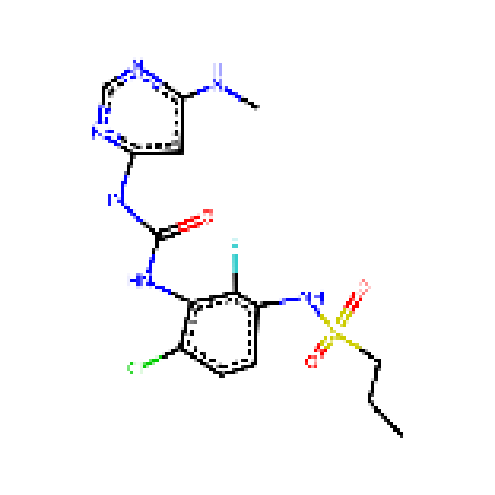 CCCS(=O)(=O)Nc1ccc(Cl)c(NC(=O)Nc2cc(NC)ncn2)c1F